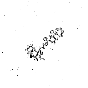 CCc1nn(CCCOC(=O)c2cccc(C(=O)N3CCOCC3)c2)c2c1C(=O)NCC1(CCOCC1)C2